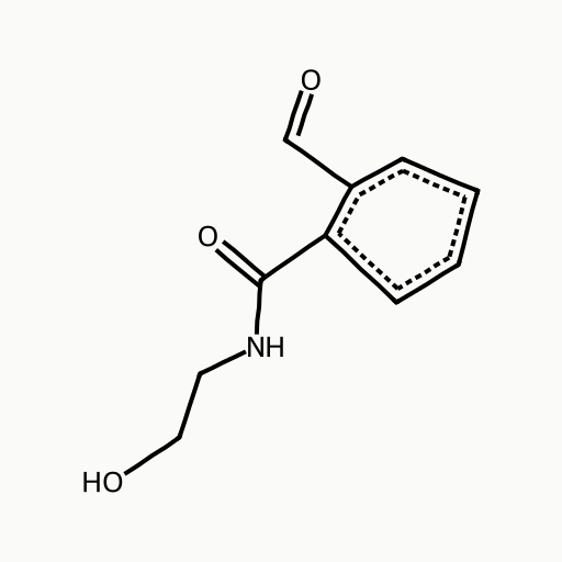 O=Cc1ccccc1C(=O)NCCO